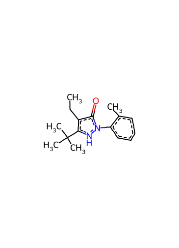 CCc1c(C(C)(C)C)[nH]n(-c2ccccc2C)c1=O